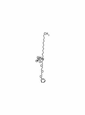 CCCCCCCCCCCCCCCC(COCCOCCOc1ccccc1)OP(=O)(O)O